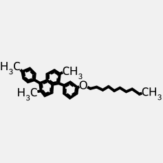 CCCCCCCCCCOc1cccc(-c2c(C)ccc3c(-c4ccc(C)cc4)c(C)ccc23)c1